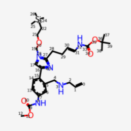 C=CCNCc1cc(NC(=O)OC)ccc1-c1cn(COCC[Si](C)(C)C)c(CCC=CNC(=O)OC(C)(C)C)n1